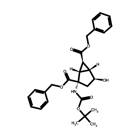 CC(C)(C)OC(=O)N[C@@]1(C(=O)OCc2ccccc2)C[C@H](O)[C@H]2[C@H](C(=O)OCc3ccccc3)[C@H]21